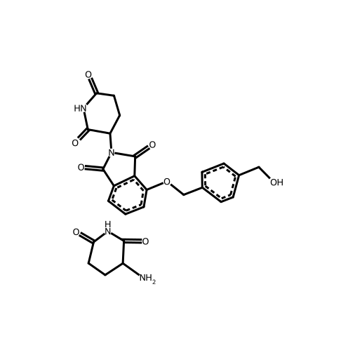 NC1CCC(=O)NC1=O.O=C1CCC(N2C(=O)c3cccc(OCc4ccc(CO)cc4)c3C2=O)C(=O)N1